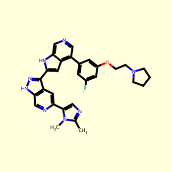 Cc1ncc(-c2cc3c(-c4cc5c(-c6cc(F)cc(OCCN7CCCC7)c6)cncc5[nH]4)n[nH]c3cn2)n1C